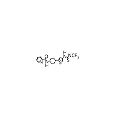 O=C(NC1CCC(c2cc(NC(=S)NC(F)(F)F)cs2)CC1)c1ccccn1